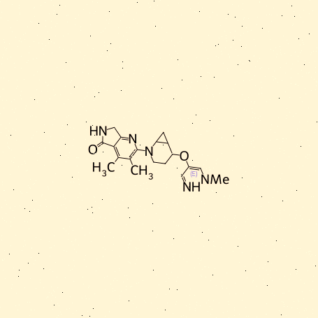 CN/C=C(\C=N)OC1CCN(c2nc3c(c(C)c2C)C(=O)NC3)C2CC12